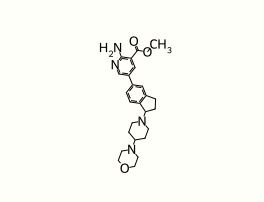 COC(=O)c1cc(-c2ccc3c(c2)CCC3N2CCC(N3CCOCC3)CC2)cnc1N